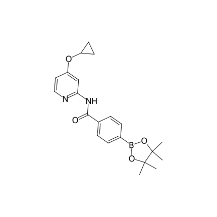 CC1(C)OB(c2ccc(C(=O)Nc3cc(OC4CC4)ccn3)cc2)OC1(C)C